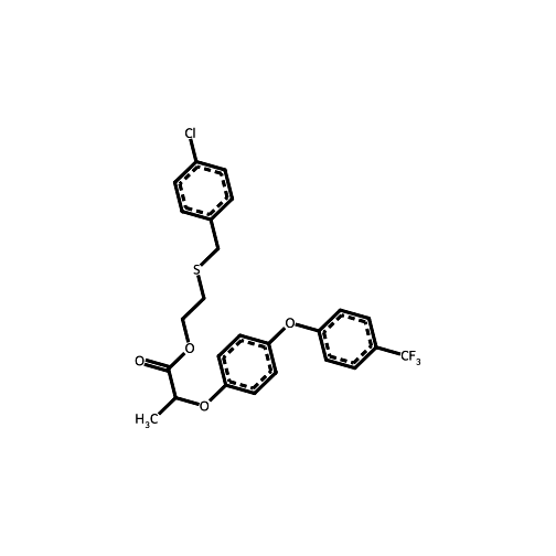 CC(Oc1ccc(Oc2ccc(C(F)(F)F)cc2)cc1)C(=O)OCCSCc1ccc(Cl)cc1